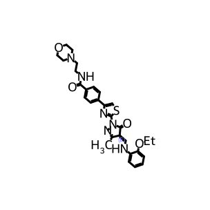 CCOc1ccccc1N/C=C1/C(=O)N(c2nc(-c3ccc(C(=O)NCCN4CCOCC4)cc3)cs2)N=C1C